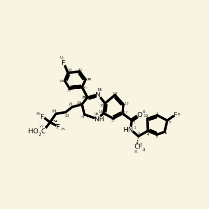 O=C(N[C@H](C1=CCC(F)C=C1)C(F)(F)F)c1ccc2c(c1)NCC(CCCC(F)(F)C(=O)O)C(c1ccc(F)cc1)=N2